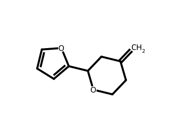 C=C1CCOC(c2ccco2)C1